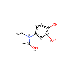 CCN(c1ccc(O)c(O)c1)C(C)O